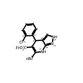 CCCCC1=C(C(=O)OCC)C(c2ccccc2Cl)c2c[nH]nc2N1